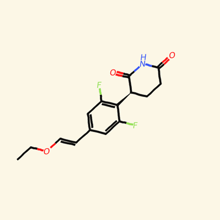 CCO/C=C/c1cc(F)c([C@@H]2CCC(=O)NC2=O)c(F)c1